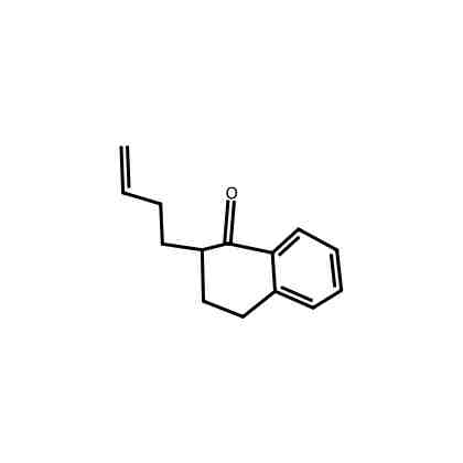 C=CCCC1CCc2ccccc2C1=O